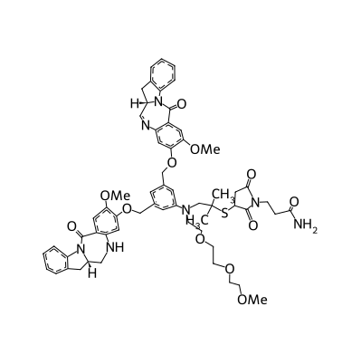 COCCOCCOCCN(CC(C)(C)SC1CC(=O)N(CCC(N)=O)C1=O)c1cc(COc2cc3c(cc2OC)C(=O)N2c4ccccc4C[C@H]2C=N3)cc(COc2cc3c(cc2OC)C(=O)N2c4ccccc4C[C@H]2CN3)c1